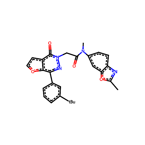 Cc1nc2ccc(N(C)C(=O)Cn3nc(-c4cccc(C(C)(C)C)c4)c4occc4c3=O)cc2o1